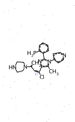 C=C(/C=C(/Cl)c1nc(-c2ccccc2P)n(-c2ccncc2)c1C)N1CCNCC1